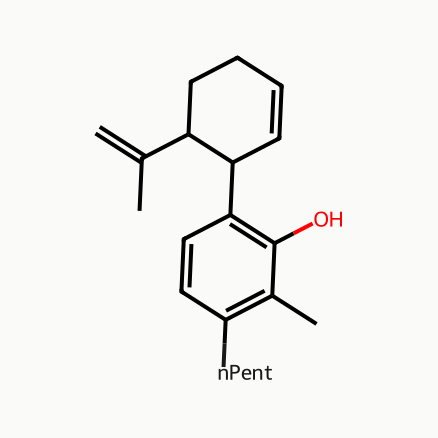 C=C(C)C1CCC=CC1c1ccc(CCCCC)c(C)c1O